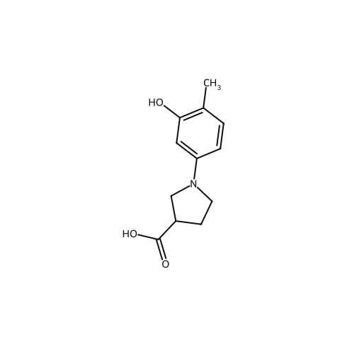 Cc1ccc(N2CCC(C(=O)O)C2)cc1O